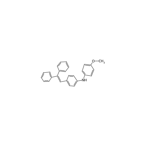 COc1ccc(Nc2ccc(C=C(c3ccccc3)c3ccccc3)cc2)cc1